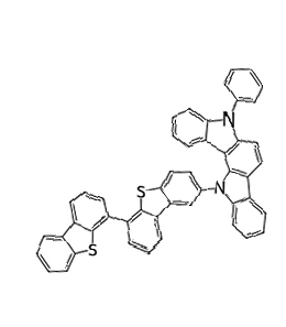 c1ccc(-n2c3ccccc3c3c2ccc2c4ccccc4n(-c4ccc5sc6c(-c7cccc8c7sc7ccccc78)cccc6c5c4)c23)cc1